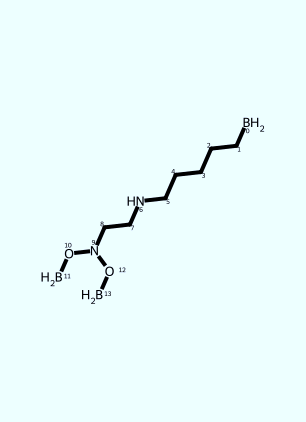 BCCCCCNCCN(OB)OB